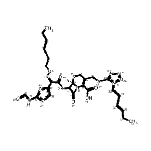 CCCCCCO/N=C(\C(=O)NC1C(=O)N2C(C(=O)O)=C(CSc3nnnn3CCCCCC)CS[C@H]12)c1csc(NC=O)n1